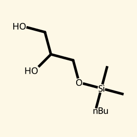 CCCC[Si](C)(C)OCC(O)CO